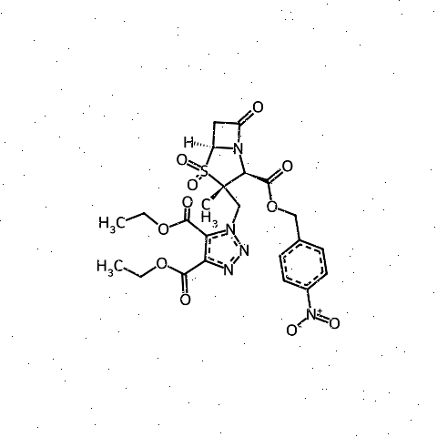 CCOC(=O)c1nnn(C[C@@]2(C)[C@H](C(=O)OCc3ccc([N+](=O)[O-])cc3)N3C(=O)C[C@@H]3S2(=O)=O)c1C(=O)OCC